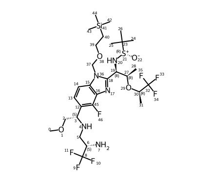 COC[C@@H](NC[C@H](N)C(F)(F)F)c1ccc2c(nc([C@@H](N[S@@+]([O-])C(C)(C)C)[C@@H](C)O[C@H](C)C(F)(F)F)n2COCC[Si](C)(C)C)c1F